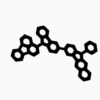 c1ccc(-n2c3ccc(-c4ccc5c(c4)c4ccccc4n5-c4ccc5c6c(cncc46)-c4ccccc4-5)cc3c3cc4ccccc4cc32)cc1